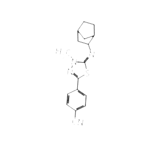 Cn1nc(-c2ccc(C#N)cc2)sc1=NC1CC2CCC1C2